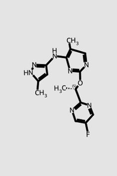 Cc1cc(Nc2nc(O[C@@H](C)c3ncc(F)cn3)ncc2C)n[nH]1